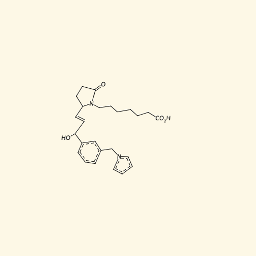 O=C(O)CCCCCCN1C(=O)CCC1C=CC(O)c1cccc(Cn2cccc2)c1